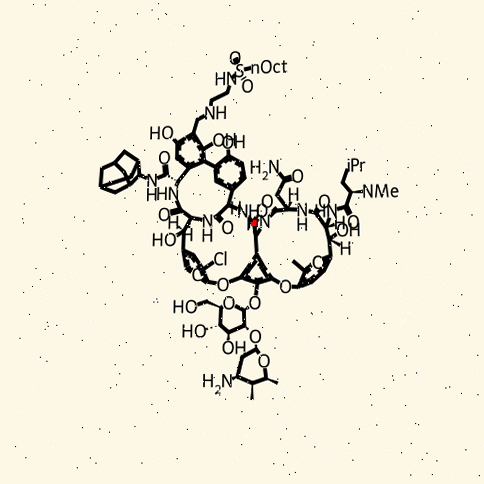 CCCCCCCCS(=O)(=O)NCCNCc1c(O)cc2c(c1O)-c1cc(ccc1O)[C@H]1NC(=O)[C@@H]3NC(=O)[C@H](CC(N)=O)NC(=O)[C@H](NC(=O)[C@@H](CC(C)C)NC)[C@H](O)c4ccc(c(C)c4)Oc4cc3cc(c4O[C@@H]3O[C@H](CO)[C@@H](O)[C@H](O)[C@H]3O[C@H]3C[C@H](N)[C@H](C)[C@H](C)O3)Oc3ccc(cc3Cl)[C@@H](O)[C@H](NC1=O)C(=O)N[C@@H]2C(=O)NC1C2CC3CC(C2)CC1C3